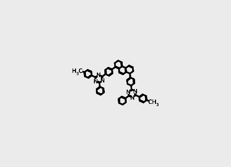 Cc1ccc(-c2nc(-c3ccccc3)nc(-c3ccc(C4=c5ccc6c(c5=CCC4)C=CCC6C4=CCC(c5nc(C6=CC=CCC6)nc(-c6ccc(C)cc6)n5)C=C4)cc3)n2)cc1